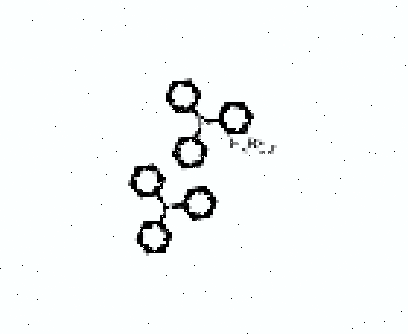 [BH4-].[Cu].c1ccc(P(c2ccccc2)c2ccccc2)cc1.c1ccc(P(c2ccccc2)c2ccccc2)cc1